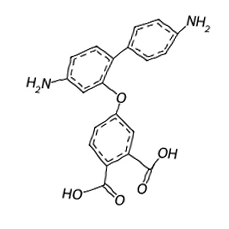 Nc1ccc(-c2ccc(N)cc2Oc2ccc(C(=O)O)c(C(=O)O)c2)cc1